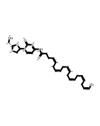 CC/C=C\C/C=C\C/C=C\C/C=C\C/C=C\C/C=C\CCC(=O)Nc1ccn(C2CS[C@H](CO)O2)c(=O)n1